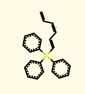 C=C/C=C\C=C\S(c1ccccc1)(c1ccccc1)c1ccccc1